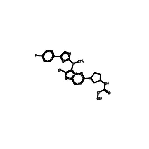 CCc1nc2ccc(N3CCC(NC(=O)OC(C)(C)C)C3)nn2c1N(C)c1nc(-c2ccc(F)cc2)cs1